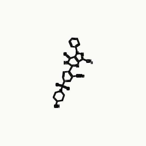 COc1cc(S(=O)(=O)N2CCC(O)CC2)ccc1-c1nc2c(C)nn(-c3ccccc3)c2c(=O)[nH]1